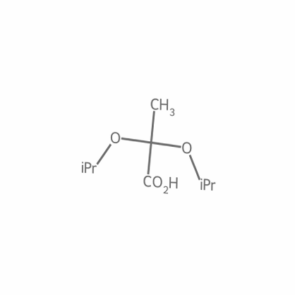 CC(C)OC(C)(OC(C)C)C(=O)O